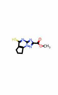 COC(=O)c1nc2nc(S)c3c(n2n1)CCC3